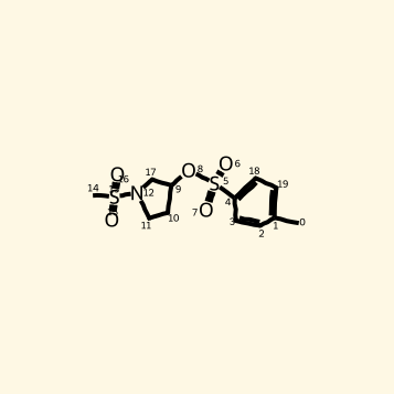 Cc1ccc(S(=O)(=O)OC2CCN(S(C)(=O)=O)C2)cc1